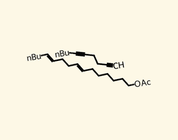 C#CCCC#CCCCC.CCCCC=CCCC=CCCCCCCOC(C)=O